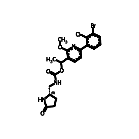 COc1nc(-c2cccc(Br)c2Cl)ccc1C(C)OC(=O)NC[C@@H]1CCC(=O)N1